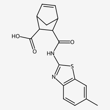 Cc1ccc2nc(NC(=O)C3C4C=CC(C4)C3C(=O)O)sc2c1